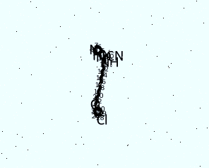 N#CN/C(=N\c1cccnc1)NCCCCCCCCCCCCOc1ccc(Cl)cc1